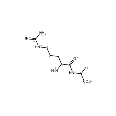 CC(NC(=O)C(N)CCCNC(=N)N)C(=O)O